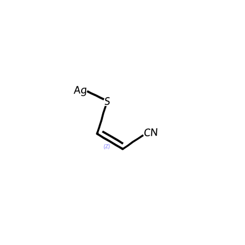 N#C/C=C\[S][Ag]